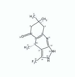 C[C@@H]1C2=C(CC(C)(C)CC2=O)N=C2NNC(C(F)(F)F)=C21